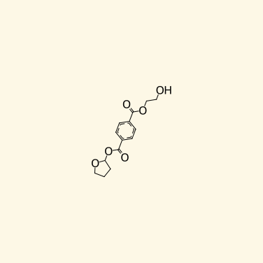 O=C(OCCO)c1ccc(C(=O)OC2CCCO2)cc1